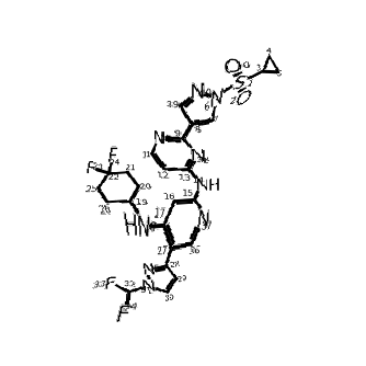 O=S(=O)(C1CC1)n1cc(-c2nccc(Nc3cc(NC4CCC(F)(F)CC4)c(-c4ccn(C(F)F)n4)cn3)n2)cn1